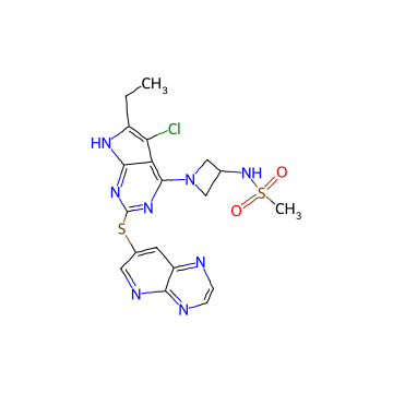 CCc1[nH]c2nc(Sc3cnc4nccnc4c3)nc(N3CC(NS(C)(=O)=O)C3)c2c1Cl